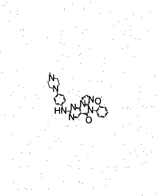 COc1ccccc1-n1c(=O)c2cnc(Nc3ccc(N4CCN(C)CC4)cc3)nc2n2ccnc12